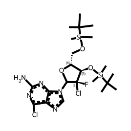 CC(C)(C)[Si](C)(C)OC[C@H]1OC(n2cnc3c(Cl)nc(N)nc32)[C@@](F)(Cl)[C@@H]1O[Si](C)(C)C(C)(C)C